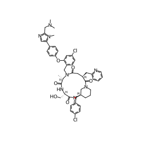 C[C@H]1C(=O)N[C@@H](CO)C(=O)N(C)[C@@]2(Cc3ccc(Cl)cc3)CCCN(C2)C(=O)[C@H](Cc2ccccn2)CC(=O)N1Cc1ccc(Cl)cc1Oc1ccc(-c2cnc(CN(C)C)n2C)cc1